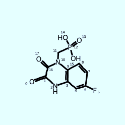 O=c1[nH]c2cc(F)ccc2n(CP(=O)(O)O)c1=O